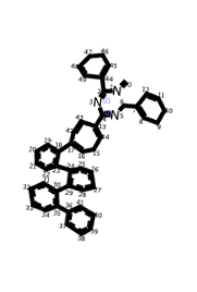 C=N/C(=N\C(=N/CC1=CCCC=C1)C1=CCC=C(c2ccccc2-c2ccccc2-c2ccccc2-c2ccccc2)C=C1)C1=CCCC=C1